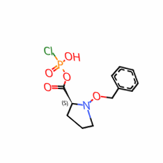 O=C(OP(=O)(O)Cl)[C@@H]1CCCN1OCc1ccccc1